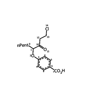 CCCCCC(Oc1ccc(C(=O)O)cc1)C(=O)CCCl